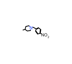 CC1CCN(Cc2ccc([N+](=O)[O-])cc2)CC1